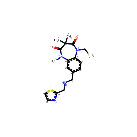 CCN1C(=O)C(C)(C)C(=O)N(C)c2cc(CNCc3nccs3)ccc21